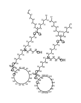 CCCCCCCCC(CCCCCC)C(=O)OCCCCCCN(CCCCO)CCCCCCO[Si](C)(C)OC1CCCCCCCCCCCCCCO1.CCCCCCCCC(CCCCCC)C(=O)OCCCCCCN(CCCCO)CCCCCCO[Si](C)(C)OC1CCCCCCCCCCCCCCO1